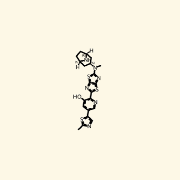 Cc1ncc(-c2cnc(-c3nc4sc(N(C)[C@@H]5C[C@H]6CC[C@@H](C5)N6)nc4s3)c(O)c2)s1